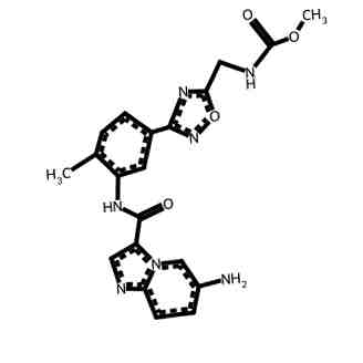 COC(=O)NCc1nc(-c2ccc(C)c(NC(=O)c3cnc4ccc(N)cn34)c2)no1